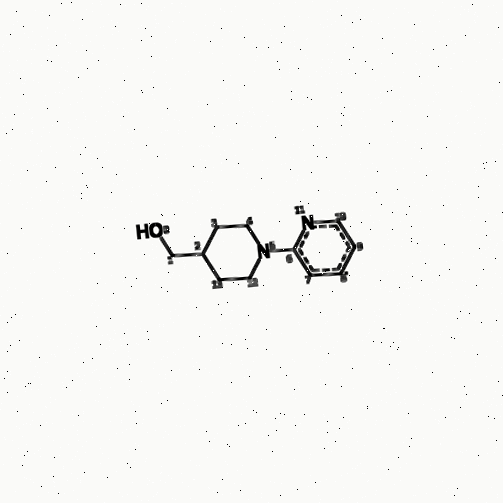 OCC1CCN(c2c[c]ccn2)CC1